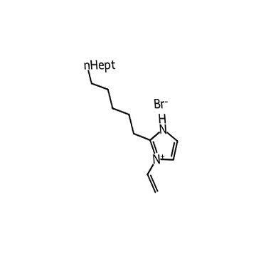 C=C[n+]1cc[nH]c1CCCCCCCCCCCC.[Br-]